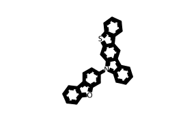 c1ccc2c(c1)oc1cc(-n3c4ccccc4c4cc5c(cc43)sc3ccccc35)ccc12